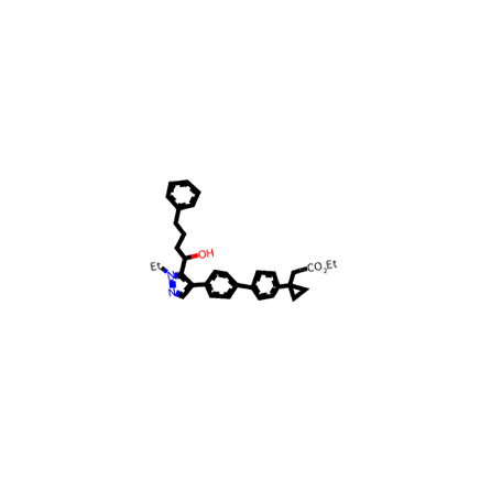 CCOC(=O)CC1(c2ccc(-c3ccc(-c4cnn(CC)c4C(O)CCCc4ccccc4)cc3)cc2)CC1